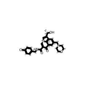 C[C@H](O)c1cn2cc(C(=O)NCc3ccc(Cl)cc3)c(=O)c3cc(CN4CCOCC4)cc1c32